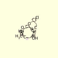 C[C@H]1C/C=C\C[C@H](O)[C@@H]2CC[C@H]2CN2CCCCc3cc(Cl)ccc3COc3ccc(cc32)C(=O)NS1(=O)=O